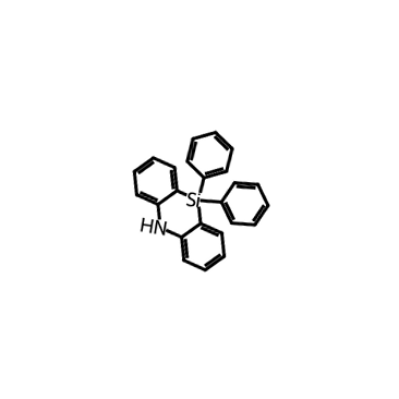 c1ccc([Si]2(c3ccccc3)c3ccccc3Nc3ccccc32)cc1